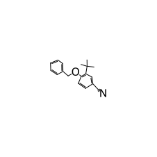 CC(C)(C)c1cc(C#N)ccc1OCc1ccccc1